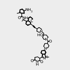 Cc1ccc(N)cc1C(=O)N[C@H](C)c1ccc(C#CC2CCN(CC3(O)CCN(C(=O)C4CCN(c5ccc6c(C7CCC(=O)NC7=O)nn(C)c6c5)CC4)CC3)CC2)c2ccccc12